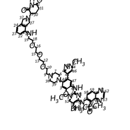 COc1cc(N2CCN(CCOCCOCCOCCNc3cccc4c3CN(C3CCC(=O)NC3=O)C4)CC2)c(-c2cnn(C)c2)cc1Nc1ncc(Br)c(Nc2ccc3nccnc3c2P(C)(C)=O)n1